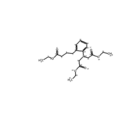 CCOC(=O)CCCc1ccccc1N(CC(=O)OCC)CC(=O)OCC